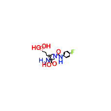 N[C@]1(C(=O)O)CN(C(=O)Nc2ccc(F)cc2)C[C@@H]1CCCB(O)O